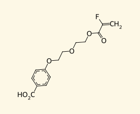 C=C(F)C(=O)OCCOCCOc1ccc(C(=O)O)cc1